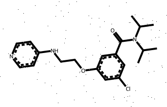 CC(C)N(C(=O)c1cc(Cl)cc(OCCNc2ccncc2)c1)C(C)C